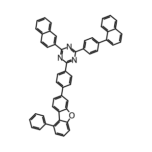 c1ccc(-c2cccc3oc4cc(-c5ccc(-c6nc(-c7ccc(-c8cccc9ccccc89)cc7)nc(-c7ccc8ccccc8c7)n6)cc5)ccc4c23)cc1